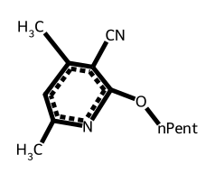 CCCCCOc1nc(C)cc(C)c1C#N